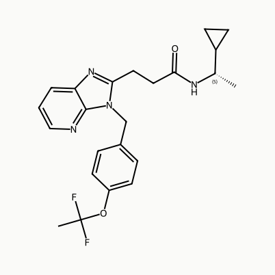 C[C@H](NC(=O)CCc1nc2cccnc2n1Cc1ccc(OC(C)(F)F)cc1)C1CC1